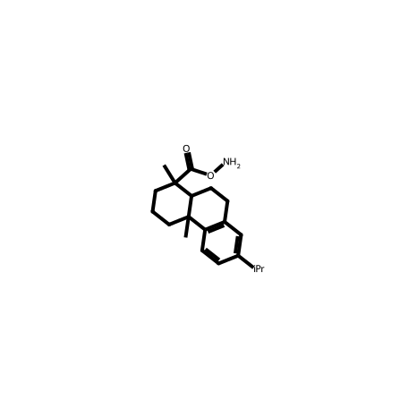 CC(C)c1ccc2c(c1)CCC1C(C)(C(=O)ON)CCCC21C